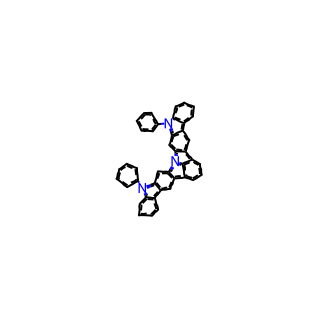 c1ccc(-n2c3ccccc3c3cc4c5cccc6c7cc8c9ccccc9n(-c9ccccc9)c8cc7n(c4cc32)c56)cc1